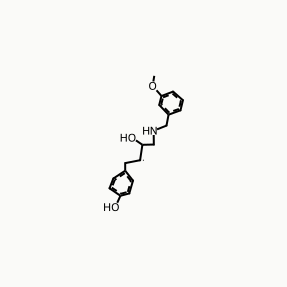 COc1cccc(CNCC(O)[CH]Cc2ccc(O)cc2)c1